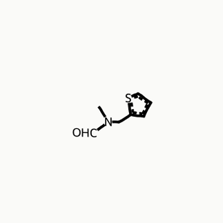 CN(C=O)Cc1cccs1